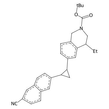 CCC1CN(C(=O)OC(C)(C)C)Cc2ccc(C3CC3c3ccc4cc(C#N)ccc4c3)cc21